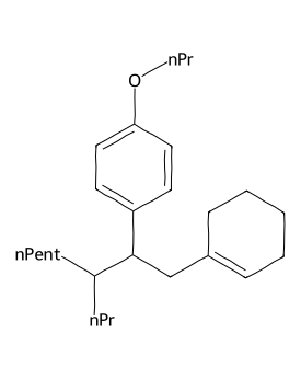 CCCCCC(CCC)C(CC1=CCCCC1)c1ccc(OCCC)cc1